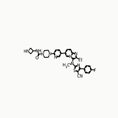 CCc1nc2ccc(-c3ccc(N4CCN(C(=O)NC5CNC5)CC4)nc3)cn2c1N(C)c1nc(-c2ccc(F)cc2)c(C#N)s1